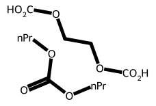 CCCOC(=O)OCCC.O=C(O)OCCOC(=O)O